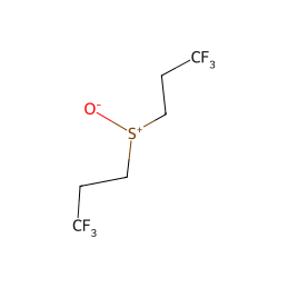 [O-][S+](CCC(F)(F)F)CCC(F)(F)F